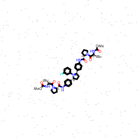 COC(=O)N[C@H](C(=O)N1CCC[C@H]1C(=O)Nc1ccc([C@H]2CC[C@H](c3ccc(NC(=O)[C@@H]4CCCN4C(=O)[C@@H](NC(=O)OC)C(C)(C)C)cc3)N2c2cccc(F)c2)cc1)C(C)(C)C